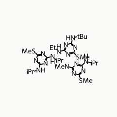 CCNc1nc(NC(C)(C)C)nc(SC)n1.CNc1nc(NC(C)C)nc(SC)n1.CSc1nc(NC(C)C)nc(NC(C)C)n1